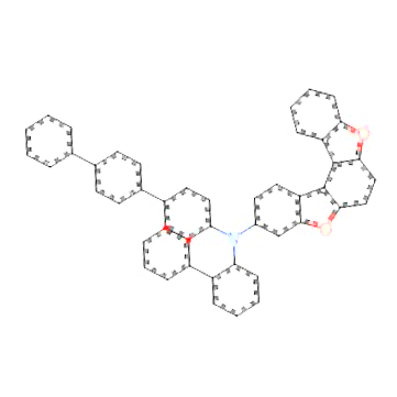 c1ccc(-c2ccc(-c3ccc(N(c4ccc5c(c4)oc4ccc6oc7ccccc7c6c45)c4ccccc4-c4ccccc4)cc3)cc2)cc1